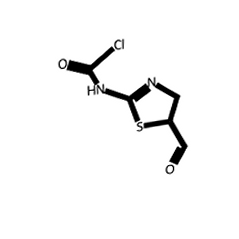 O=CC1CN=C(NC(=O)Cl)S1